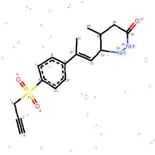 C#CCS(=O)(=O)c1ccc(/C(C)=C/C2NNC(=O)CC2C)cc1